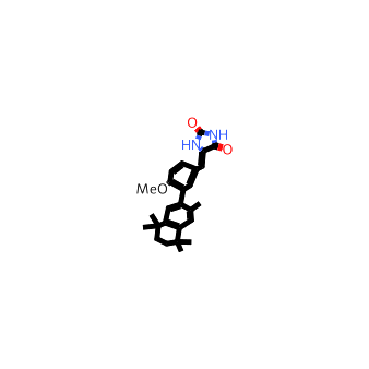 COc1ccc(/C=C2\NC(=O)NC2=O)cc1-c1cc2c(cc1C)C(C)(C)CCC2(C)C